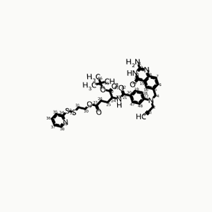 C#CCN(Cc1ccc2nc(N)[nH]c(=O)c2c1)c1ccc(C(=O)NC(CCC(=O)OCCSSc2ccccn2)C(=O)OC(C)(C)C)cc1